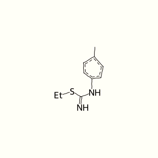 CCSC(=N)Nc1ccc(C)cc1